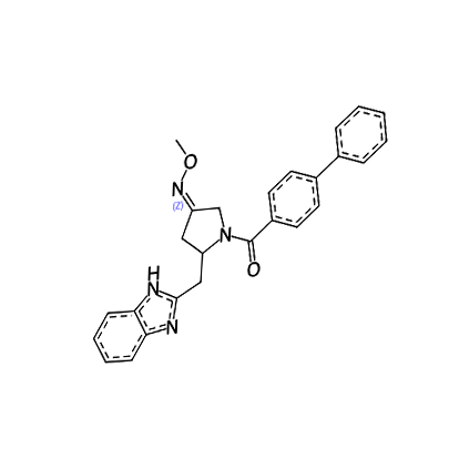 CO/N=C1/CC(Cc2nc3ccccc3[nH]2)N(C(=O)c2ccc(-c3ccccc3)cc2)C1